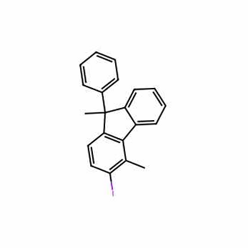 Cc1c(I)ccc2c1-c1ccccc1C2(C)c1ccccc1